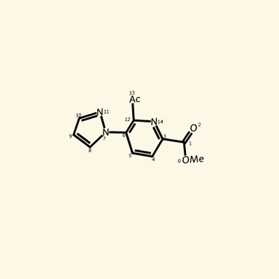 COC(=O)c1ccc(-n2cccn2)c(C(C)=O)n1